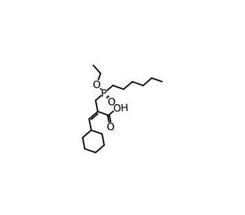 CCCCCCP(=O)(C/C(=C/C1CCCCC1)C(=O)O)OCC